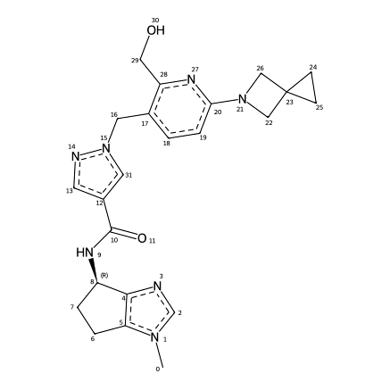 Cn1cnc2c1CC[C@H]2NC(=O)c1cnn(Cc2ccc(N3CC4(CC4)C3)nc2CO)c1